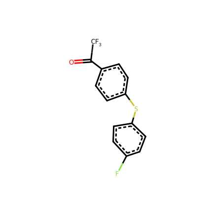 O=C(c1ccc(Sc2ccc(F)cc2)cc1)C(F)(F)F